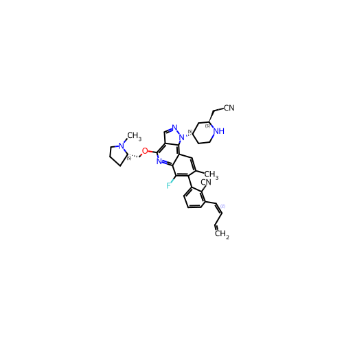 C=C/C=C\c1cccc(-c2c(C)cc3c(nc(OC[C@@H]4CCCN4C)c4cnn([C@H]5CCN[C@H](CC#N)C5)c43)c2F)c1C#N